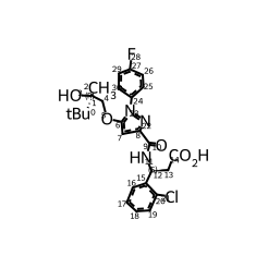 CC(C)(C)[C@@](C)(O)COc1cc(C(=O)N[C@@H](CC(=O)O)c2ccccc2Cl)nn1-c1ccc(F)cc1